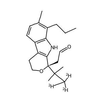 [2H]C([2H])([2H])C(C)(C)[C@]1(CC=O)OCCc2c1[nH]c1c(CCC)c(C)ccc21